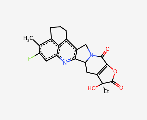 CC[C@@]1(O)C(=O)OC2=C1CC1c3nc4cc(F)c(C)c5c4c(c3CN1C2=O)CCC5